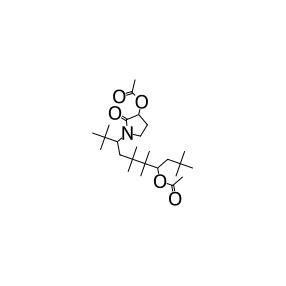 CC(=O)OC1CCN(C(CC(C)(C)C(C)(C)C(CC(C)(C)C)OC(C)=O)C(C)(C)C)C1=O